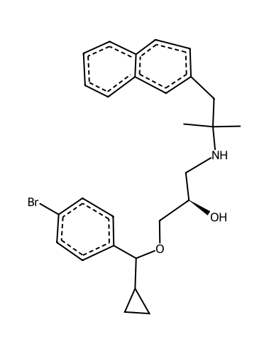 CC(C)(Cc1ccc2ccccc2c1)NC[C@@H](O)COC(c1ccc(Br)cc1)C1CC1